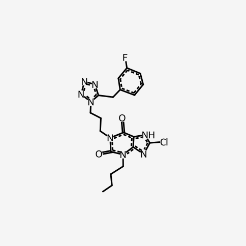 CCCCn1c(=O)n(CCCn2nnnc2Cc2cccc(F)c2)c(=O)c2[nH]c(Cl)nc21